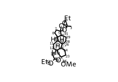 CCOC(C)OC1(C#N)CC[C@H]2[C@@H]3CC[C@@H]4C[C@](COC)(OC(C)OCC)CC[C@]4(C)[C@H]3CC[C@@]21C